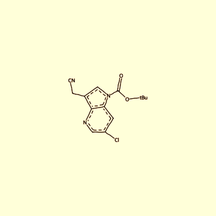 CC(C)(C)OC(=O)n1cc(CC#N)c2ncc(Cl)cc21